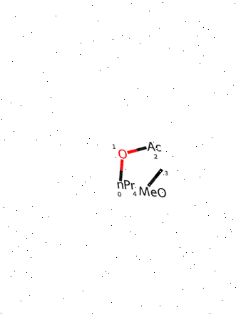 CCCOC(C)=O.COC